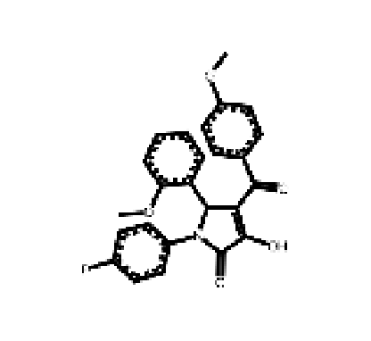 COc1ccc(C(=O)C2=C(O)C(=O)N(c3ccc(F)cc3)C2c2ccccc2OC)cc1